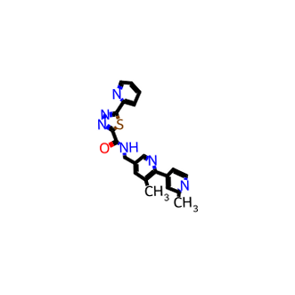 Cc1cc(-c2ncc(CNC(=O)c3nnc(-c4ccccn4)s3)cc2C)ccn1